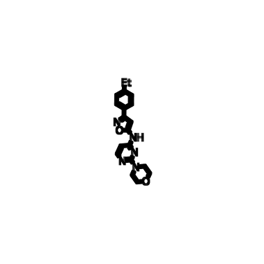 CCc1ccc(-c2cc(Nc3ccnc(N4CCOCC4)n3)on2)cc1